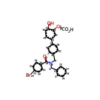 O=C(O)Oc1cc(-c2ccc(CN(Cc3ccccc3)C(=O)c3ccc(Br)cc3)cc2)ccc1O